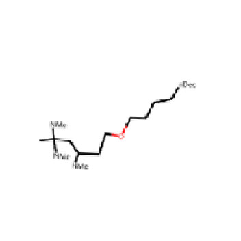 CCCCCCCCCCCCCCOCCC(CC(C)(NC)NC)NC